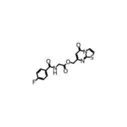 O=C(CNC(=O)c1ccc(F)cc1)OCc1cc(=O)n2ccsc2n1